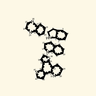 c1ccc2c(c1)CCN2.c1ccc2ncccc2c1.c1ccc2nccnc2c1.c1cnc2c(c1)c1sccc1c1sccc21